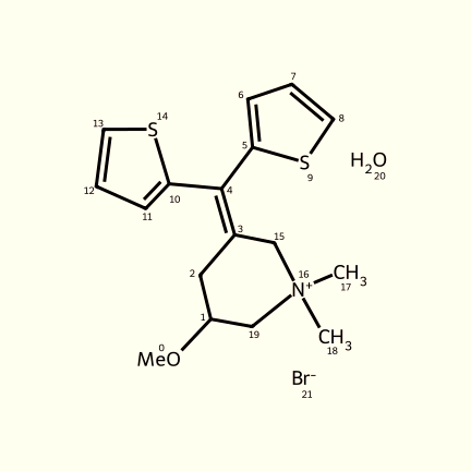 COC1CC(=C(c2cccs2)c2cccs2)C[N+](C)(C)C1.O.[Br-]